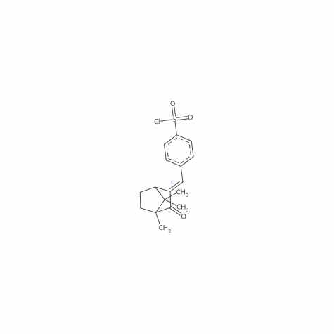 CC12CCC(/C(=C\c3ccc(S(=O)(=O)Cl)cc3)C1=O)C2(C)C